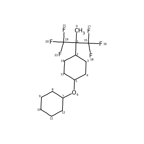 CC(C1CCC(OC2CCCCC2)CC1)(C(F)(F)F)C(F)(F)F